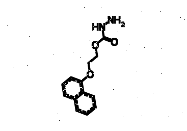 NNC(=O)OCCOc1cccc2ccccc12